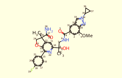 COc1cc(C(=O)NCC(O)(c2cc3c(c(-c4ccc(F)cc4)n2)OC[C@]3(C)C(N)=O)C(F)(F)F)cc2cn(C3CC3)nc12